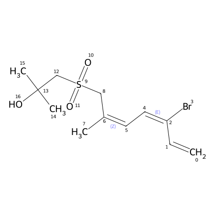 C=C/C(Br)=C\C=C(\C)CS(=O)(=O)CC(C)(C)O